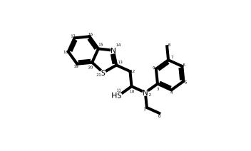 CCN(c1cccc(C)c1)C(S)Cc1nc2ccccc2s1